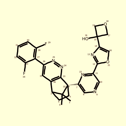 CC1(C)C2CC[C@]1(c1cncc(-c3nc(C4(O)COC4)co3)n1)c1nnc(-c3c(F)cccc3F)cc12